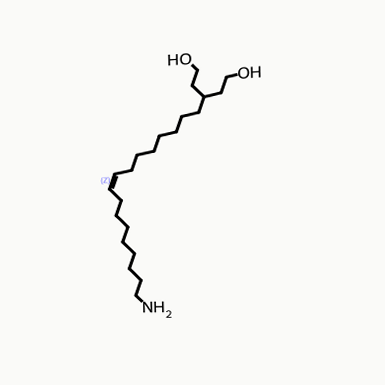 NCCCCCCCC/C=C\CCCCCCCC(CCO)CCO